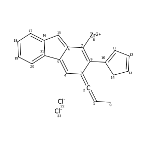 CC=C=c1cc2c([c]([Zr+2])c1C1=CC=CC1)=Cc1ccccc1-2.[Cl-].[Cl-]